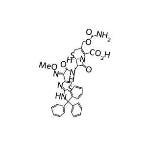 CO/N=C(\C(=O)N[C@@H]1C(=O)N2C(C(=O)O)=C(COC(N)=O)CS[C@H]12)c1csc(NC(c2ccccc2)(c2ccccc2)c2ccccc2)n1